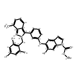 CC(C)(C)OC(=O)n1ccc2cc(Oc3cccc(-c4c5cccc(C(F)(F)F)c5nn4Cc4c(F)cc(F)cc4F)c3)c(F)cc21